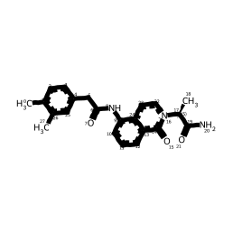 Cc1ccc(CC(=O)Nc2cccc3c(=O)n([C@@H](C)C(N)=O)ccc23)cc1C